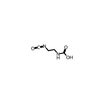 O=C=NCCNC(=O)O